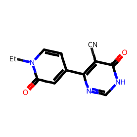 CCn1ccc(-c2nc[nH]c(=O)c2C#N)cc1=O